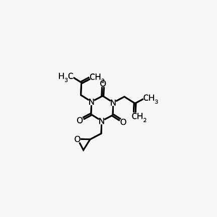 C=C(C)Cn1c(=O)n(CC(=C)C)c(=O)n(CC2CO2)c1=O